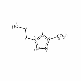 O=C(O)c1cn(CCO)nn1